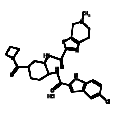 CN1CCc2nc(C(=O)N[C@@H]3CC(C(=O)N4CCC4)CCC3NC(=O)c3cc4cc(Cl)ccc4[nH]3)sc2C1.Cl